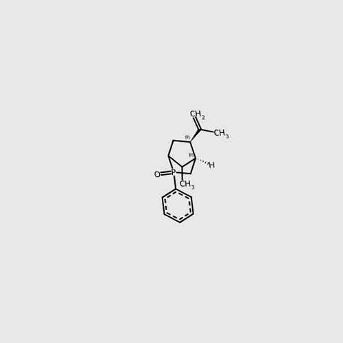 C=C(C)[C@@H]1CC2C(C)[C@@H]1CP2(=O)c1ccccc1